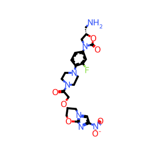 NC[C@H]1CN(c2ccc(N3CCN(C(=O)CO[C@@H]4COc5nc([N+](=O)[O-])cn5C4)CC3)c(F)c2)C(=O)O1